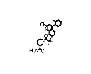 Cc1ccccc1-c1cc(Cl)nc2cc(O[C@H](C)C(=O)N3CCC[C@H](C(N)=O)C3)ccc12